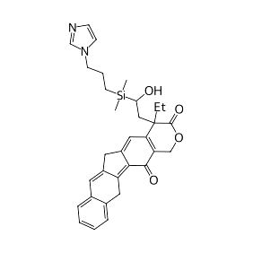 CCC1(CC(O)[Si](C)(C)CCCn2ccnc2)C(=O)OCC2=C1C=C1CC3=Cc4ccccc4CC3=C1C2=O